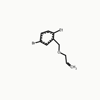 C=CCOCc1cc(Br)ccc1CC